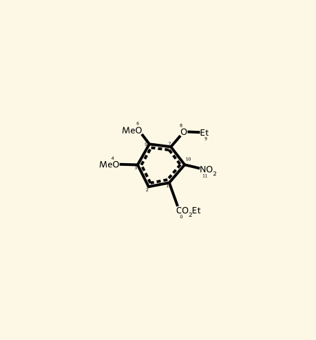 CCOC(=O)c1cc(OC)c(OC)c(OCC)c1[N+](=O)[O-]